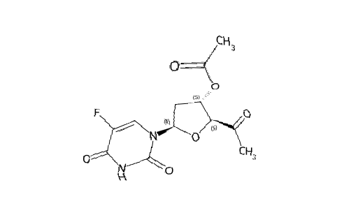 CC(=O)O[C@H]1C[C@H](n2cc(F)c(=O)[nH]c2=O)O[C@@H]1C(C)=O